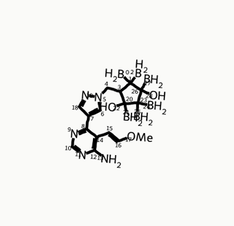 BC1(B)C(Cn2cc(-c3ncnc(N)c3/C=C/OC)cn2)C(B)(O)C(B)(B)C1(B)O